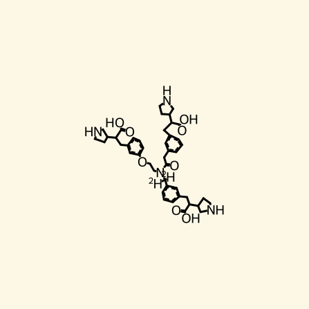 [2H]C([2H])(c1cccc(CC(C(=O)O)C2CCNC2)c1)N(CCOc1cccc(CC(C(=O)O)C2CCNC2)c1)C(=O)Cc1cccc(CC(C(=O)O)C2CCNC2)c1